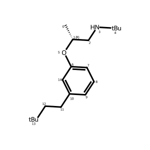 C[C@H](CNC(C)(C)C)Oc1cccc(CCC(C)(C)C)c1